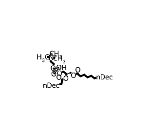 CCCCCCCCCCCCCCCC(=O)OC[C@H](COP(=O)(O)OCC[N+](C)(C)C)OC(=O)CCCCCCCCCCC